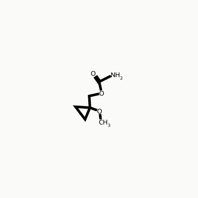 COC1(COC(N)=O)CC1